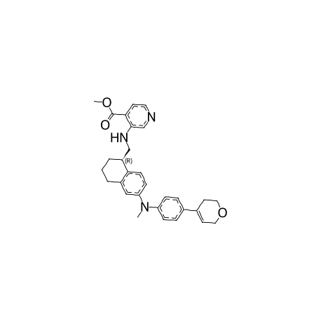 COC(=O)c1ccncc1NC[C@@H]1CCCc2cc(N(C)c3ccc(C4=CCOCC4)cc3)ccc21